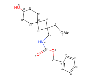 COCC1(CNC(=O)OCc2ccccc2)CC2(CCC(O)CC2)C1